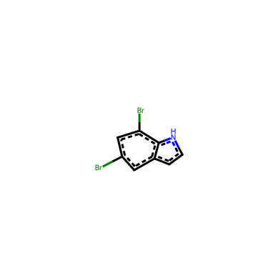 Brc1cc(Br)c2[nH]ccc2c1